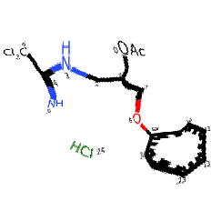 CC(=O)OC(CNC(=N)C(Cl)(Cl)Cl)COc1ccccc1.Cl